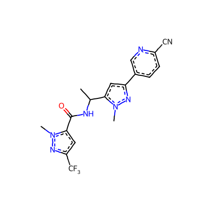 CC(NC(=O)c1cc(C(F)(F)F)nn1C)c1cc(-c2ccc(C#N)nc2)nn1C